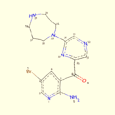 Nc1ncc(Br)cc1C(=O)c1cncc(N2CCCNCC2)n1